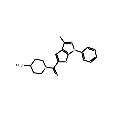 Cc1nn(-c2ccccc2)c2sc(C(=O)N3CCC(C(=O)O)CC3)cc12